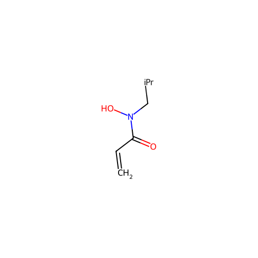 C=CC(=O)N(O)CC(C)C